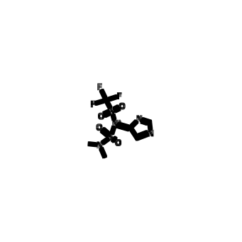 CN(C)S(=O)(=O)[N+](=C1C=NC=N1)S(=O)(=O)C(F)(F)F